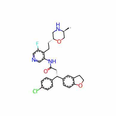 [CH2][C@H]1CO[C@H](CCc2c(F)cncc2NC(=O)C[C@@H](c2ccc(Cl)cc2)c2ccc3c(c2)CCO3)CN1